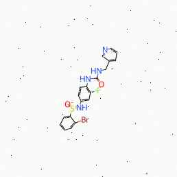 O=C(NCc1cccnc1)Nc1ccc(N[S+]([O-])c2ccccc2Br)cc1F